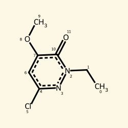 CCn1nc(Cl)cc(OC)c1=O